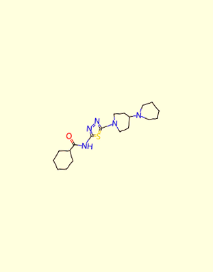 O=C(Nc1nnc(N2CCC(N3CCCCC3)CC2)s1)C1CCCCC1